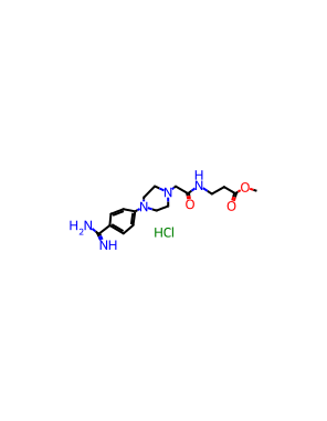 COC(=O)CCNC(=O)CN1CCN(c2ccc(C(=N)N)cc2)CC1.Cl